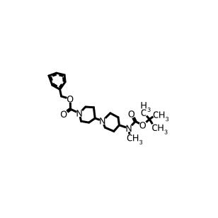 CN(C(=O)OC(C)(C)C)C1CCN(C2CCN(C(=O)OCc3ccccc3)CC2)CC1